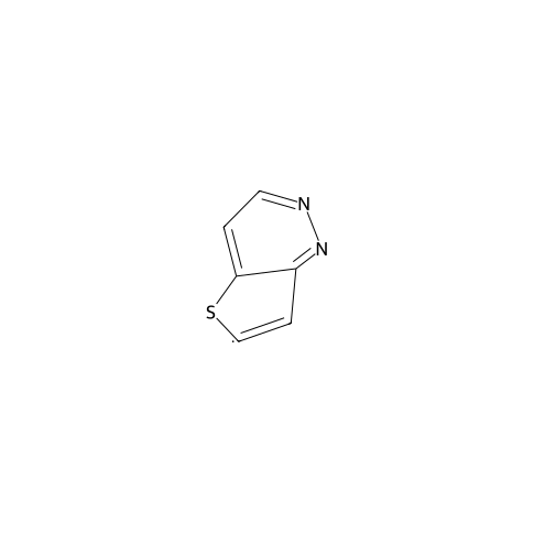 [c]1cc2nnccc2s1